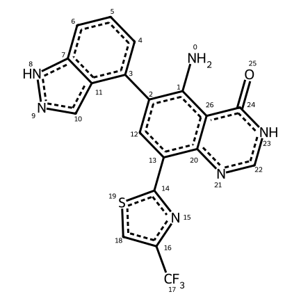 Nc1c(-c2cccc3[nH]ncc23)cc(-c2nc(C(F)(F)F)cs2)c2nc[nH]c(=O)c12